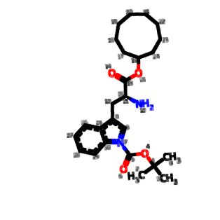 CC(C)(C)OC(=O)n1cc(C[C@H](N)C(=O)OC2CCCCCCCC2)c2ccccc21